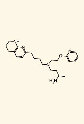 C[C@@H](N)CCN(CCCCc1ccc2c(n1)NCCC2)CCOc1ccccn1